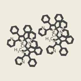 C[Si]1=C(c2ccccn2)C(c2ccccc2)=C(c2ccccc2)C1(CCC1(c2ccccn2)C(c2ccccc2)=C(c2ccccc2)C(c2ccccn2)=[Si]1C)c1ccccn1.C[Si]1=C(c2ccccn2)C(c2ccccc2)=C(c2ccccc2)C1(CCC1(c2ccccn2)C(c2ccccc2)=C(c2ccccc2)C(c2ccccn2)=[Si]1C)c1ccccn1